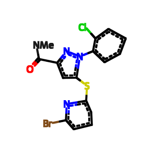 CNC(=O)c1cc(Sc2cccc(Br)n2)n(-c2ccccc2Cl)n1